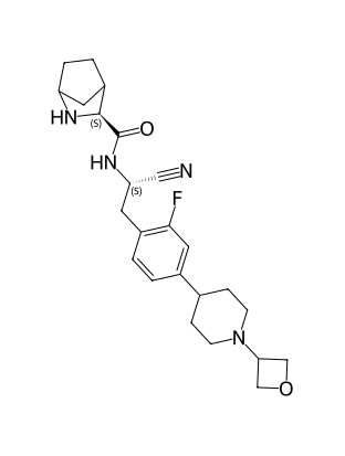 N#C[C@H](Cc1ccc(C2CCN(C3COC3)CC2)cc1F)NC(=O)[C@H]1NC2CCC1C2